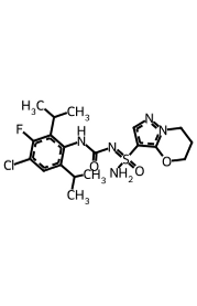 CC(C)c1cc(Cl)c(F)c(C(C)C)c1NC(=O)N=S(N)(=O)c1cnn2c1OCCC2